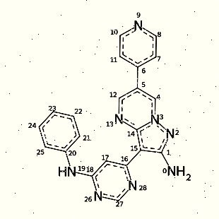 Nc1nn2cc(-c3ccncc3)cnc2c1-c1cc(Nc2ccccc2)ncn1